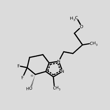 COCC(C)CCn1nc(C)c2c1CCC(F)(F)[C@H]2O